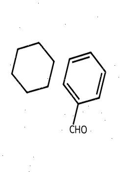 C1CCCCC1.O=Cc1ccccc1